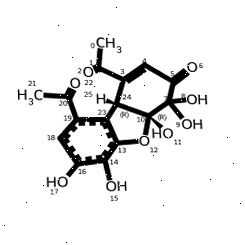 CC(=O)C1=CC(=O)C(O)(O)[C@]2(O)Oc3c(O)c(O)cc(C(C)=O)c3[C@H]12